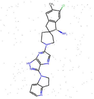 Cc1cc2c(cc1Cl)[C@@H](N)C1(CCN(c3cnc4c(N5CCc6ncccc65)n[nH]c4n3)CC1)C2